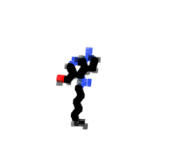 CCCCCCNc1c(C=O)cnc2[nH]ccc12